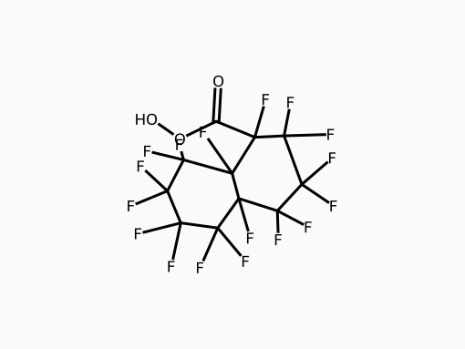 O=C(OO)C1(F)C(F)(F)C(F)(F)C(F)(F)C2(F)C(F)(F)C(F)(F)C(F)(F)C(F)(F)C12F